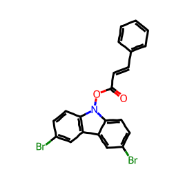 O=C(C=Cc1ccccc1)On1c2ccc(Br)cc2c2cc(Br)ccc21